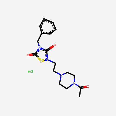 CC(=O)N1CCN(CCn2sc(=O)n(Cc3ccccc3)c2=O)CC1.Cl